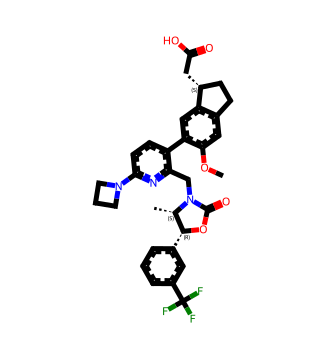 COc1cc2c(cc1-c1ccc(N3CCC3)nc1CN1C(=O)O[C@H](c3cccc(C(F)(F)F)c3)[C@@H]1C)[C@H](CC(=O)O)CC2